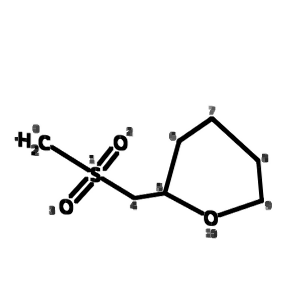 [CH2]S(=O)(=O)CC1CCCCO1